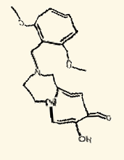 COc1cccc(OC)c1CN1CCn2cc(O)c(=O)cc2C1